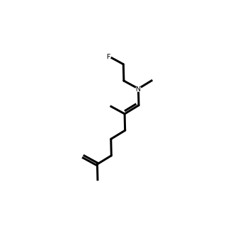 C=C(C)CCC/C(C)=C/N(C)CCF